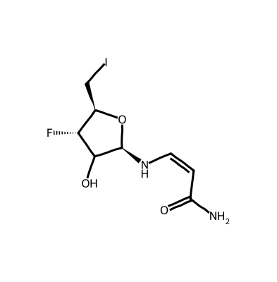 NC(=O)/C=C\N[C@@H]1O[C@H](CI)[C@@H](F)C1O